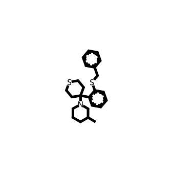 CC1CCCN(C2(c3ccccc3SCc3ccccc3)CCSCC2)C1